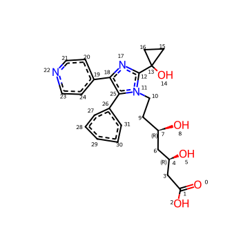 O=C(O)C[C@H](O)C[C@H](O)CCn1c(C2(O)CC2)nc(-c2ccncc2)c1-c1ccccc1